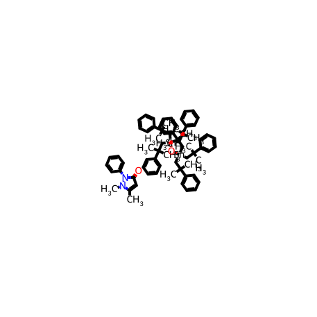 CC(C)([CH2][Sn]([CH2]C(C)(C)c1ccccc1)([CH2]C(C)(C)c1ccccc1)[O][Sn]([CH2]C(C)(C)c1ccccc1)([CH2]C(C)(C)c1ccccc1)[CH2]C(C)(C)c1ccccc1)c1ccccc1.Cc1cc(=O)n(-c2ccccc2)n1C